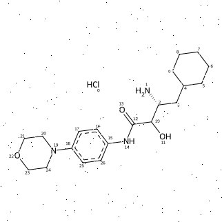 Cl.N[C@H](CC1CCCCC1)C(O)C(=O)Nc1ccc(N2CCOCC2)cc1